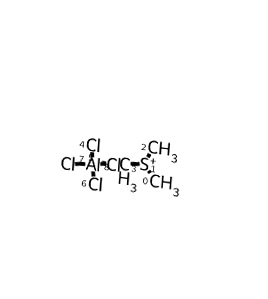 C[S+](C)C.[Cl][Al-]([Cl])([Cl])[Cl]